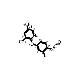 Cc1cc(Oc2ncc(C(F)(F)F)cc2Cl)ccc1N=C=O